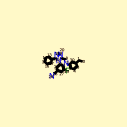 CCc1cccc(N(Cc2nc(-c3ccccc3)nn2C)c2ccc(C#N)cc2F)c1